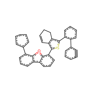 c1cccc(-c2ccccc2-c2sc(-c3cccc4c3oc3c(-c5ccccc5)cccc34)c3c2CCC=C3)c#1